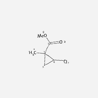 COC(=O)C1(C)CC1Cl